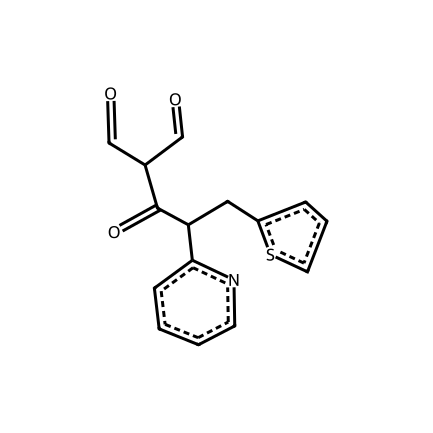 O=CC(C=O)C(=O)C(Cc1cccs1)c1ccccn1